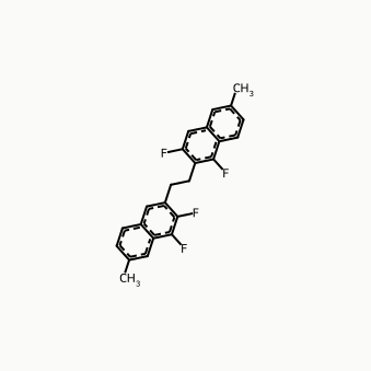 Cc1ccc2c(F)c(CCc3cc4ccc(C)cc4c(F)c3F)c(F)cc2c1